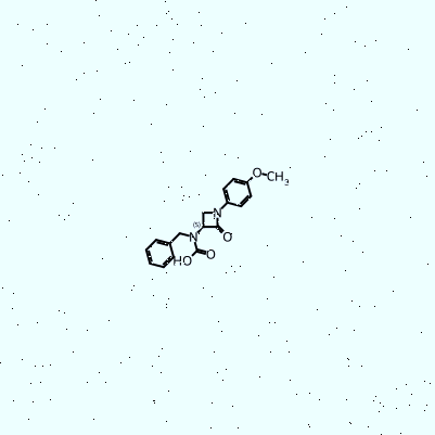 COc1ccc(N2C[C@H](N(Cc3ccccc3)C(=O)O)C2=O)cc1